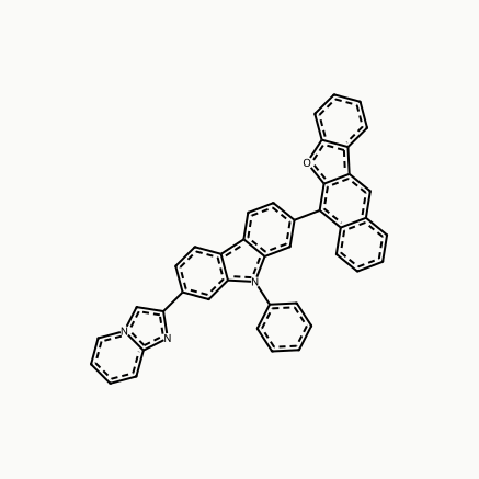 c1ccc(-n2c3cc(-c4cn5ccccc5n4)ccc3c3ccc(-c4c5ccccc5cc5c4oc4ccccc45)cc32)cc1